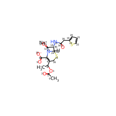 CC(=O)OC(C)C1=C(C(=O)[O-])N2C(=O)[C@@H](NC(=O)Cc3cccs3)[C@H]2SC1.[Na+]